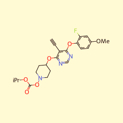 C#Cc1c(Oc2ccc(OC)cc2F)ncnc1OC1CCN(OC(=O)OC(C)C)CC1